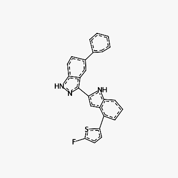 Fc1ccc(-c2cccc3[nH]c(-c4n[nH]c5ccc(-c6ccccc6)cc45)cc23)s1